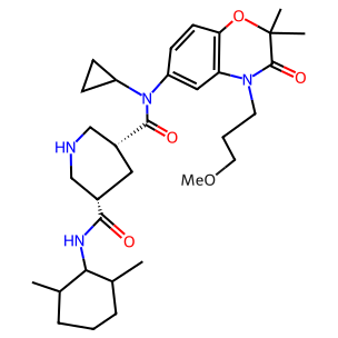 COCCCN1C(=O)C(C)(C)Oc2ccc(N(C(=O)[C@H]3CNC[C@@H](C(=O)NC4C(C)CCCC4C)C3)C3CC3)cc21